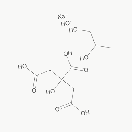 CC(O)CO.O=C(O)CC(O)(CC(=O)O)C(=O)O.[Na+].[OH-]